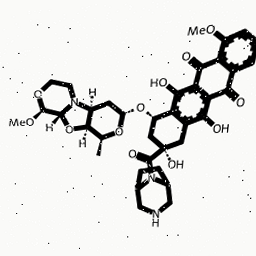 COc1cccc2c1C(=O)c1c(O)c3c(c(O)c1C2=O)C[C@@](O)(C(=O)N1C2CCC1CNC2)C[C@@H]3O[C@H]1C[C@H]2[C@H](O[C@@H]3[C@@H](OC)OCCN32)[C@H](C)O1